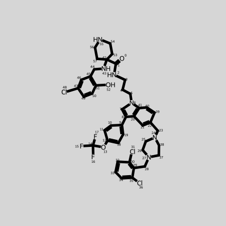 O=C(NCCCn1cc(-c2ccc(OC(F)(F)F)cc2)c2cc(CN3CCN(Cc4c(Cl)cccc4Cl)CC3)ccc21)C1(NCc2cc(Cl)ccc2O)CCNCC1